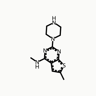 CNc1nc(N2CCNCC2)nc2sc(C)cc12